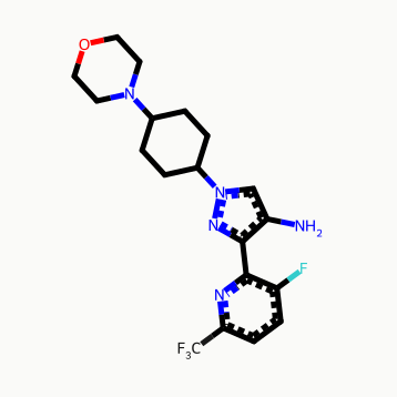 Nc1cn(C2CCC(N3CCOCC3)CC2)nc1-c1nc(C(F)(F)F)ccc1F